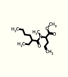 C=CCC(C(=O)OC)N(C)C(=O)C(CC)CCCC